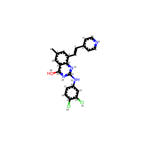 Cc1cc(C=Cc2ccncc2)c2nc(Nc3ccc(Cl)c(Cl)c3)nc(O)c2c1